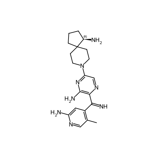 Cc1cnc(N)cc1C(=N)c1ncc(N2CCC3(CCC[C@H]3N)CC2)nc1N